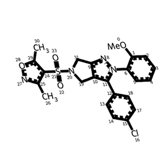 COc1ccccc1-n1nc2c(c1-c1ccc(Cl)cc1)CN(S(=O)(=O)c1c(C)noc1C)C2